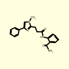 Cn1cc(-c2ccccc2)nc1CCC(=O)Nc1ccccc1C(N)=O